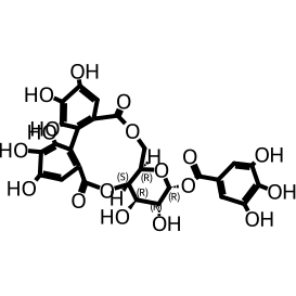 O=C(O[C@H]1O[C@@H]2COC(=O)c3cc(O)c(O)c(O)c3-c3c(cc(O)c(O)c3O)C(=O)O[C@H]2[C@H](O)[C@H]1O)c1cc(O)c(O)c(O)c1